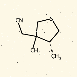 C[C@H]1CSCC1(C)CC#N